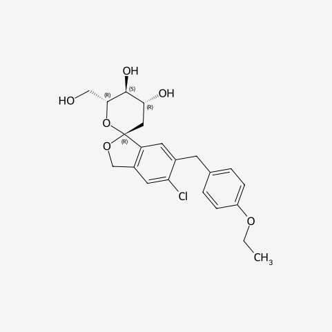 CCOc1ccc(Cc2cc3c(cc2Cl)CO[C@@]32C[C@@H](O)[C@H](O)[C@@H](CO)O2)cc1